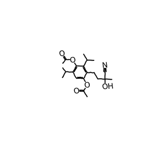 CC(=O)Oc1cc(C(C)C)c(OC(C)=O)c(C(C)C)c1CCC(C)(O)C#N